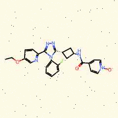 CCOc1ccc(-c2nnc([C@H]3C[C@H](NC(=O)c4cc[n+]([O-])cc4)C3)n2-c2ccccc2F)nc1